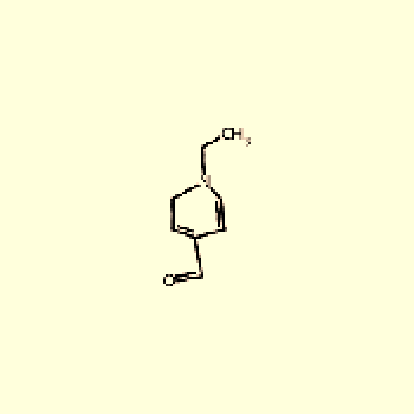 CCN1C=CC(C=O)=CC1